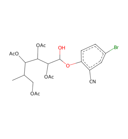 CC(=O)OCC(C)C(OC(C)=O)C(OC(C)=O)C(OC(C)=O)C(O)Oc1ccc(Br)cc1C#N